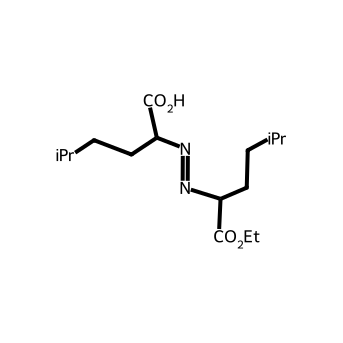 CCOC(=O)C(CCC(C)C)N=NC(CCC(C)C)C(=O)O